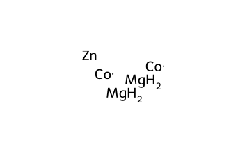 [Co].[Co].[MgH2].[MgH2].[Zn]